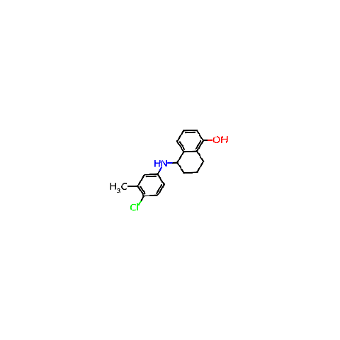 Cc1cc(NC2CCCc3c(O)cccc32)ccc1Cl